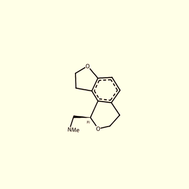 CNC[C@@H]1OCCc2ccc3c(c21)CCO3